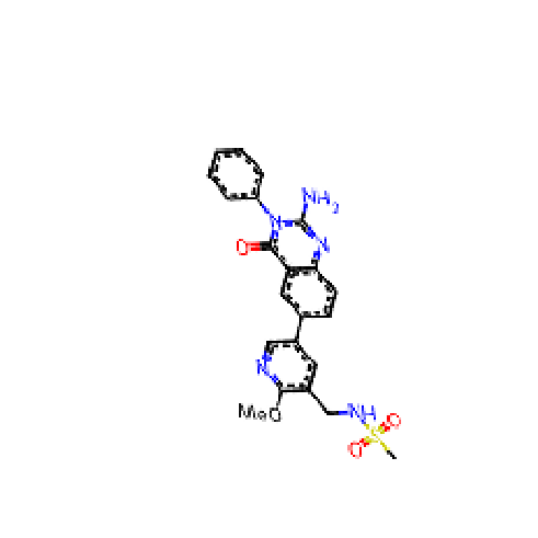 COc1ncc(-c2ccc3nc(N)n(-c4ccccc4)c(=O)c3c2)cc1CNS(C)(=O)=O